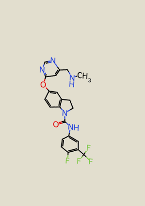 CNCc1cc(Oc2ccc3c(c2)CCN3C(=O)Nc2ccc(F)c(C(F)(F)F)c2)ncn1